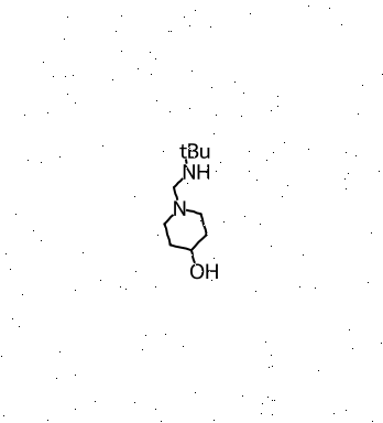 CC(C)(C)NCN1CCC(O)CC1